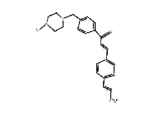 CC(=O)N1CCN(Cc2ccc(C(=O)/C=C/c3ccc(/C=C/C(=O)O)nc3)cc2)CC1